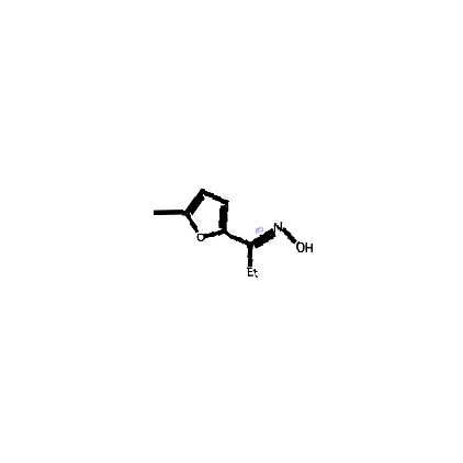 CC/C(=N\O)c1ccc(C)o1